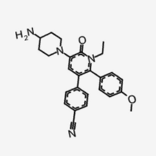 CCn1c(-c2ccc(OC)cc2)c(-c2ccc(C#N)cc2)cc(N2CCC(N)CC2)c1=O